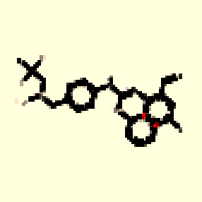 CN(Cc1ccc(N/C(=N/c2ccc(Cl)cc2C=O)Nc2ccccc2)cc1)CC(F)(F)F